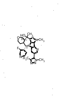 Cc1nnn(C)c1-c1cnc2c3c(c(C(C)(C)O)nn3C)n([C@H](c3ccncc3F)C3CCOCC3)c2c1